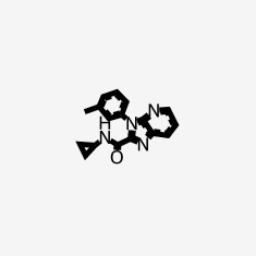 Cc1cccc(-n2c(C(=O)NC3CC3)nc3cccnc32)c1